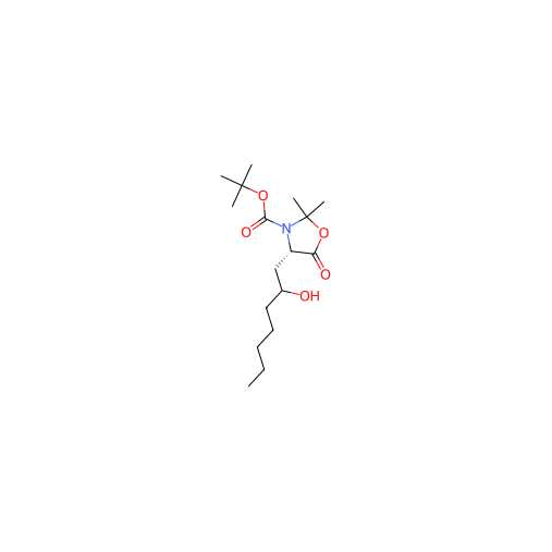 CCCCCC(O)C[C@H]1C(=O)OC(C)(C)N1C(=O)OC(C)(C)C